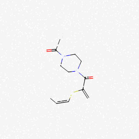 C=C(S/C=C\C)C(=O)N1CCN(C(=O)C(F)(F)F)CC1